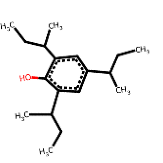 CCC(C)c1cc(C(C)CC)c(O)c(C(C)CC)c1